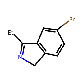 CCC1=NCc2ccc(Br)cc21